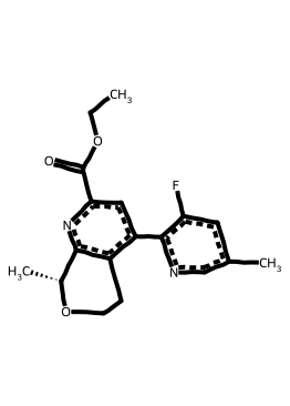 CCOC(=O)c1cc(-c2ncc(C)cc2F)c2c(n1)[C@@H](C)OCC2